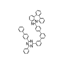 c1ccc(-c2ccc(-c3nc(-c4ccccc4)nc(-c4cccc(-c5cccc(-c6ccc(-c7nc8cccc9c8n7-c7ccccc7-c7ccccc7-9)cc6)c5)c4)n3)cc2)cc1